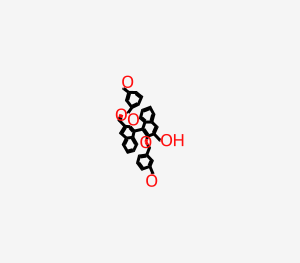 O=Cc1cccc(COc2c(C=O)cc3ccccc3c2-c2c(OCc3cccc(C=O)c3)c(CO)cc3ccccc23)c1